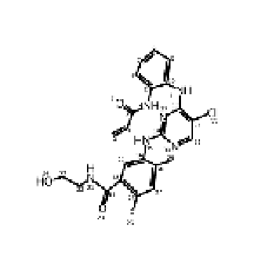 C=CC(=O)Nc1ccccc1Nc1nc(Nc2cc(C(=O)NCCO)c(F)cc2C)ncc1Cl